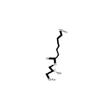 CCCCCCCCCCCCCCCC(=O)OC[C@H](O)COC(C)=O